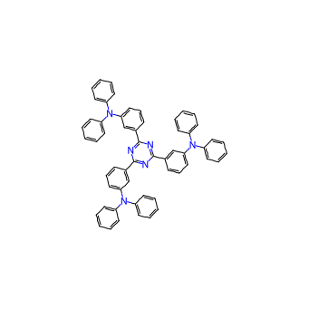 c1ccc(N(c2ccccc2)c2cccc(-c3nc(-c4cccc(N(c5ccccc5)c5ccccc5)c4)nc(-c4cccc(N(c5ccccc5)c5ccccc5)c4)n3)c2)cc1